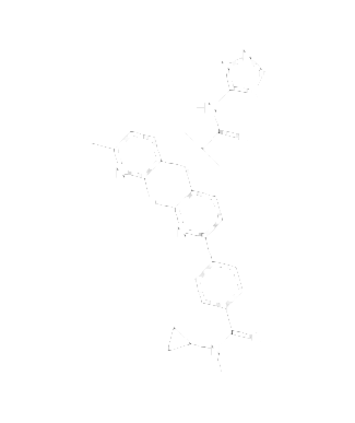 Cc1ccc2c(n1)Oc1nc(-c3ccc(C(=O)N(C)C4CC4)cc3)ccc1[C@H]2C(C)(C)C(=O)Nc1nncs1